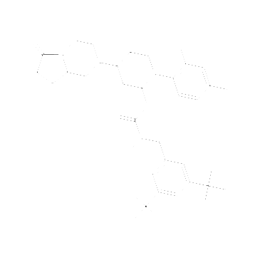 Cc1cc(F)ccc1N1CCC(N2CCN3C(=O)CCC3C2)CC1OC(=O)N(C)Cc1cc(C(F)(F)F)cc(C(F)(F)F)c1